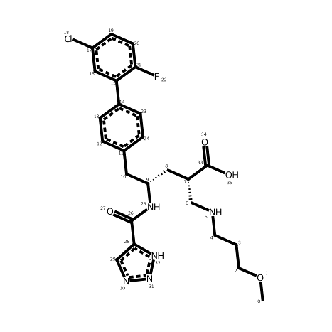 COCCCNC[C@H](C[C@@H](Cc1ccc(-c2cc(Cl)ccc2F)cc1)NC(=O)c1cnn[nH]1)C(=O)O